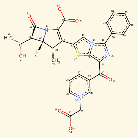 C[C@@H](O)[C@H]1C(=O)N2C(C(=O)[O-])=C(c3cn4c(-c5ccccc5)nc(C(=O)c5ccc[n+](CC(=O)O)c5)c4s3)[C@H](C)[C@H]12